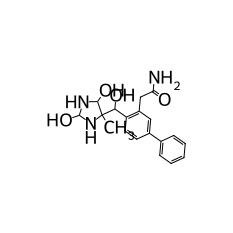 CC1(C(O)c2ccc(-c3ccccc3)cc2CC(N)=O)NC(O)NC1O